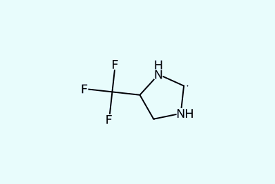 FC(F)(F)C1CN[CH]N1